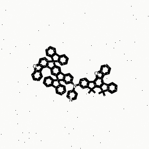 CC1(C)c2cc(N(c3ccncc3)c3ccc4c(c3)C3(c5ccccc5-c5ccccc53)c3cc5c(cc3-4)C3(c4ccccc4-c4ccccc43)c3ccc4oc6ccccc6c4c3-5)ccc2-c2c1c1c(c3c2oc2ccccc23)-c2ccccc2C1(C)C